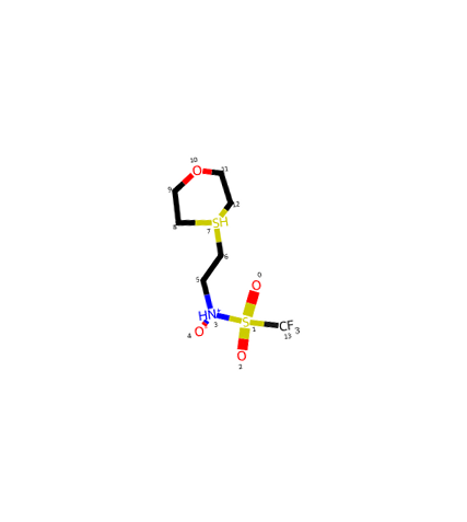 O=S(=O)([NH+]([O-])CC[SH]1CCOCC1)C(F)(F)F